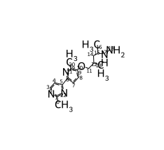 Cc1nccc(-c2ccc(OCC(C)CC(C)NN)c(C)n2)n1